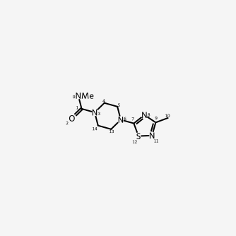 CNC(=O)N1CCN(c2nc(C)ns2)CC1